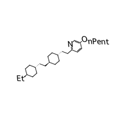 CCCCCOc1ccc(CC[C@H]2CC[C@H](CC[C@H]3CC[C@H](CC)CC3)CC2)nc1